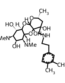 CN[C@@H]1[C@H](O)[C@H](NC)[C@H]2O[C@]3(O)[C@H](O[C@@H]2[C@H]1O)O[C@H](C)C[C@@]3(O)CNCCc1ccc(C)c(C)c1